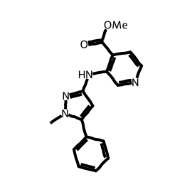 COC(=O)c1ccncc1Nc1cc(-c2ccccc2)n(C)n1